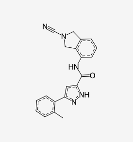 Cc1ccccc1-c1cc(C(=O)Nc2cccc3c2CN(C#N)C3)[nH]n1